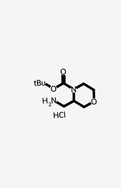 CC(C)(C)OC(=O)N1CCOCC1CN.Cl